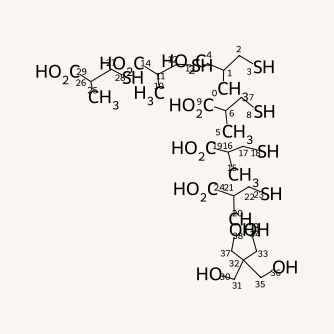 CC(CS)C(=O)O.CC(CS)C(=O)O.CC(CS)C(=O)O.CC(CS)C(=O)O.CC(CS)C(=O)O.CC(CS)C(=O)O.OCC(CO)(CO)CO